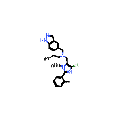 CCCCn1c(-c2ccccc2C)nc(Cl)c1CN(CCC(C)C)Cc1ccc2[nH]ncc2c1